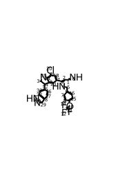 N=C/C=C(\NCc1ccc(OC(F)(F)F)cc1)c1cc(Cl)c2c(c1)C(c1ccc3cn[nH]c3c1)C=N2